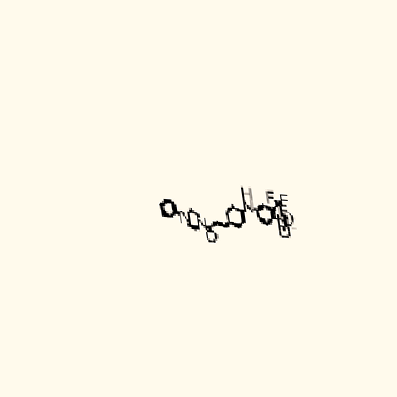 O=C(CCC1CCC(Nc2ccc([N+](=O)[O-])c(C(F)(F)F)c2)CC1)N1CCN(c2ccccc2)CC1